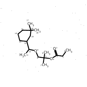 CCC(=O)OC(C)(C)COC(C)C1CCCC(C)(C)C1